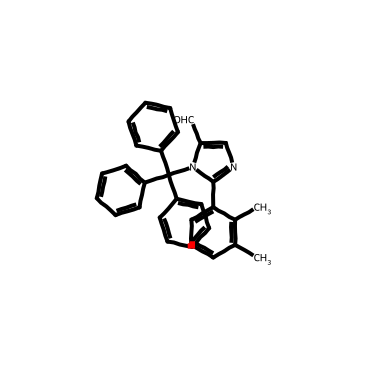 Cc1cccc(-c2ncc(C=O)n2C(c2ccccc2)(c2ccccc2)c2ccccc2)c1C